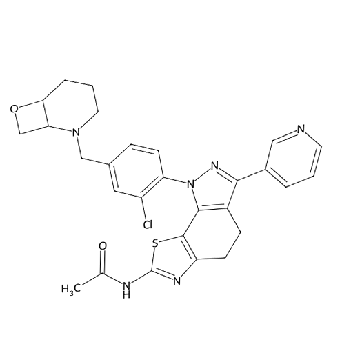 CC(=O)Nc1nc2c(s1)-c1c(c(-c3cccnc3)nn1-c1ccc(CN3CCCC4OCC43)cc1Cl)CC2